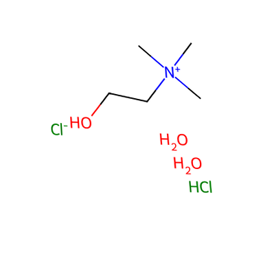 C[N+](C)(C)CCO.Cl.O.O.[Cl-]